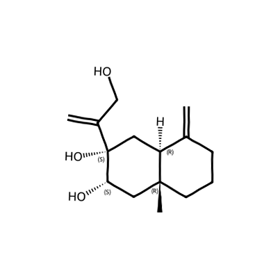 C=C1CCC[C@]2(C)C[C@H](O)[C@@](O)(C(=C)CO)C[C@@H]12